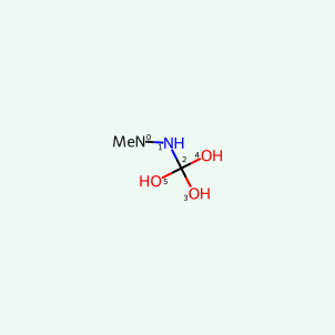 CNNC(O)(O)O